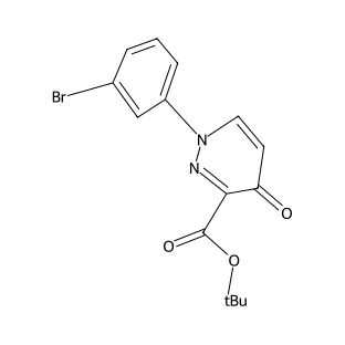 CC(C)(C)OC(=O)c1nn(-c2cccc(Br)c2)ccc1=O